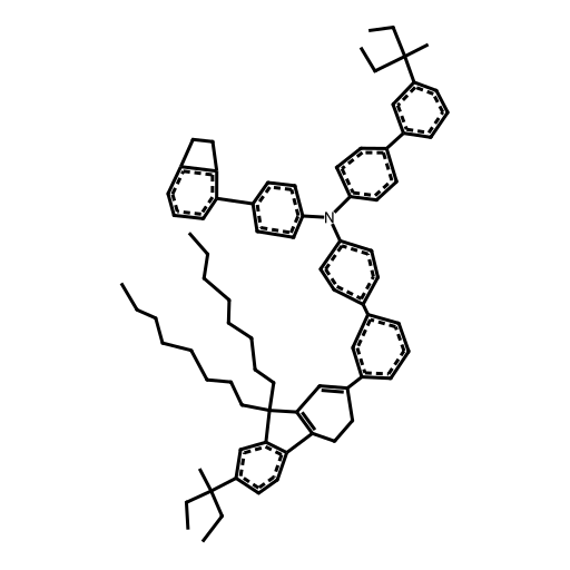 CCCCCCCCC1(CCCCCCCC)C2=C(CCC(c3cccc(-c4ccc(N(c5ccc(-c6cccc(C(C)(CC)CC)c6)cc5)c5ccc(-c6cccc7c6CC7)cc5)cc4)c3)=C2)c2ccc(C(C)(CC)CC)cc21